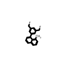 Cc1cccc2cccc(-c3cc(CF)cc(CF)c3)c12